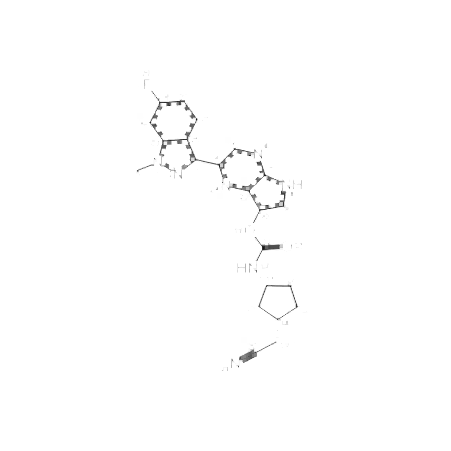 Cn1nc(-c2cnc3[nH]cc(OC(=O)N[C@@H]4CC[C@H](CC#N)C4)c3n2)c2ccc(F)cc21